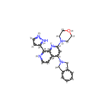 c1ccc2c(c1)CN(c1cc(N3CCOCC3)nc3c(-c4ccn[nH]4)nccc13)C2